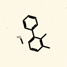 CO.Cc1cccc(-c2ccccc2)c1C